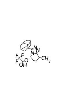 CC1CCCn2c1nnc2C12CC3CC(CC(C3)C1)C2.O=C(O)C(F)(F)F